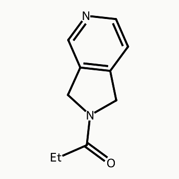 CCC(=O)N1Cc2ccncc2C1